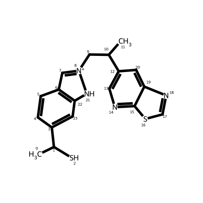 CC(S)c1ccc2c[n+](CC(C)c3cnc4scnc4c3)[nH]c2c1